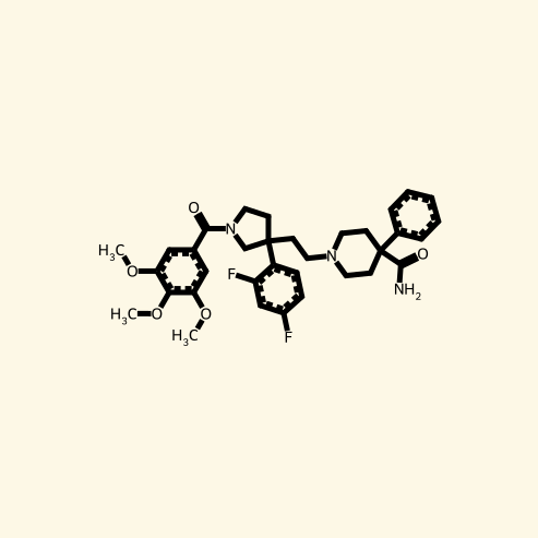 COc1cc(C(=O)N2CCC(CCN3CCC(C(N)=O)(c4ccccc4)CC3)(c3ccc(F)cc3F)C2)cc(OC)c1OC